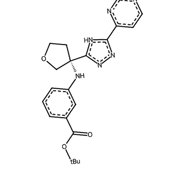 CC(C)(C)OC(=O)c1cccc(N[C@@]2(c3nnc(-c4ccncn4)[nH]3)CCOC2)c1